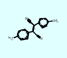 Cc1ccc(/C(C#N)=C(\C#N)c2ccc(C)cc2)cc1